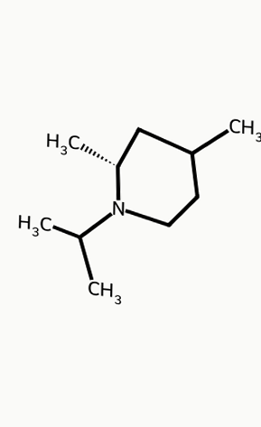 CC1CCN(C(C)C)[C@H](C)C1